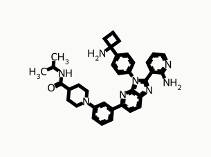 CC(C)NC(=O)C1CCN(c2cccc(-c3ccc4nc(-c5cccnc5N)n(-c5ccc(C6(N)CCC6)cc5)c4n3)c2)CC1